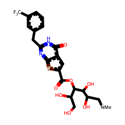 CNCC(O)C(O)C(OC(=O)c1cc2c(=O)[nH]c(Cc3cccc(C(F)(F)F)c3)nc2s1)C(O)CO